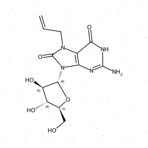 C=CCn1c(=O)n([C@@H]2O[C@@H](CO)[C@H](O)[C@H]2O)c2nc(N)[nH]c(=O)c21